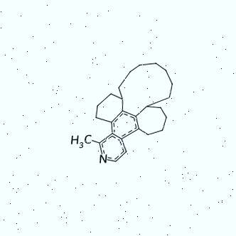 Cc1nccc2c3c4c5c(c12)CCCC5CCCCCCCC4CCCC3